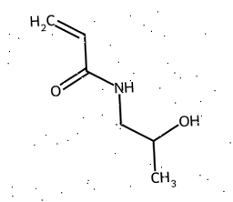 C=CC(=O)N[CH]C(C)O